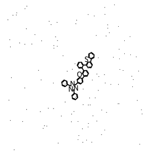 c1ccc(-c2nc(-c3ccccc3)nc(-c3ccc4c(c3)oc3c(-c5ccccc5-c5cccc6c5sc5ccccc56)cccc34)n2)cc1